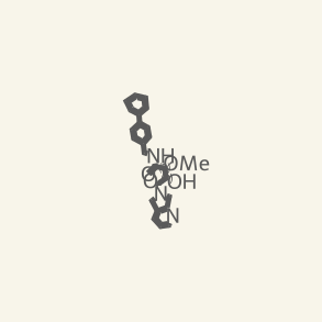 CO[C@@H](C(=O)NCc1ccc(-c2ccccc2)cc1)[C@@H](O)C(=O)N1Cc2cccnc2C1